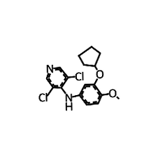 COc1ccc(Nc2c(Cl)cncc2Cl)cc1OC1CCCC1